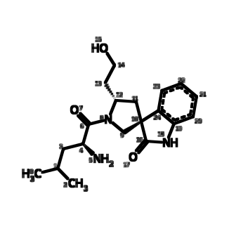 CC(C)C[C@H](N)C(=O)N1C[C@]2(C[C@H]1CCO)C(=O)Nc1ccccc12